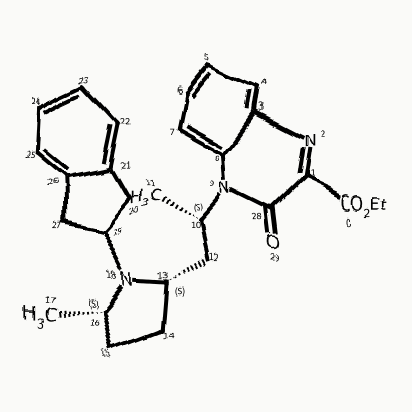 CCOC(=O)c1nc2ccccc2n([C@@H](C)C[C@@H]2CC[C@H](C)N2C2Cc3ccccc3C2)c1=O